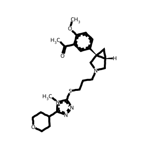 COc1ccc([C@@]23C[C@@H]2CN(CCCSc2nnc(C4CCOCC4)n2C)C3)cc1C(C)=O